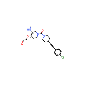 CN[C@@H]1CN(C(=O)N2CCC(C#Cc3ccc(Cl)cc3)CC2)CC[C@@H]1OCC=O